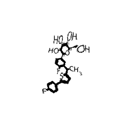 CC(c1ccc(-c2ccc(F)cc2)s1)c1cc([C@@H]2O[C@H](CO)[C@@H](O)[C@H](O)[C@H]2O)ccc1F